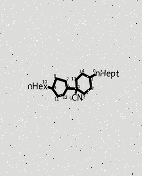 CCCCCCCC1CCC(C#N)(C2CCC(CCCCCC)CC2)CC1